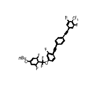 CCCCOC1=CC(F)C(C(F)(F)Oc2ccc(C#Cc3ccc(C#Cc4cc(F)c(C(F)(F)F)c(F)c4)cc3)c(F)c2)C(F)=C1